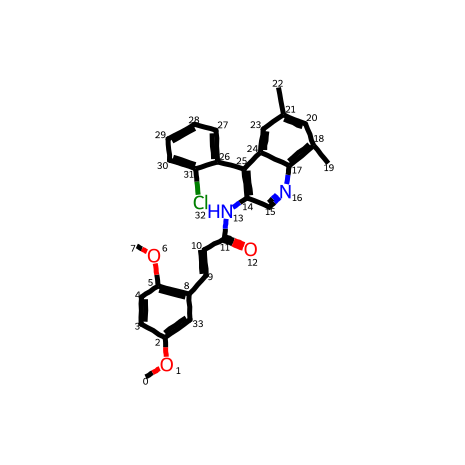 COc1ccc(OC)c(C=CC(=O)Nc2cnc3c(C)cc(C)cc3c2-c2ccccc2Cl)c1